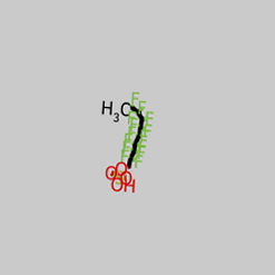 CC(F)C(F)(F)C(F)C(F)(F)C(F)(F)C(F)(F)C(F)(F)C(F)(F)COS(=O)(=O)O